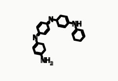 NC1=CC=C(N=C2C=CC(=NC3C=CC(NC4=CCCC=C4)=CC3)C=C2)CC1